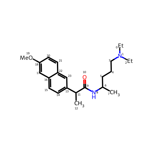 CCN(CC)CCCC(C)NC(=O)C(C)c1ccc2cc(OC)ccc2c1